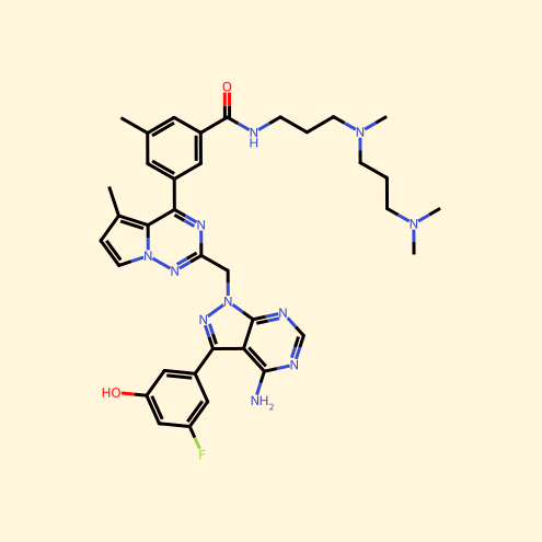 Cc1cc(C(=O)NCCCN(C)CCCN(C)C)cc(-c2nc(Cn3nc(-c4cc(O)cc(F)c4)c4c(N)ncnc43)nn3ccc(C)c23)c1